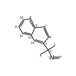 C=NC(C)(C)c1ccc2ccccc2c1